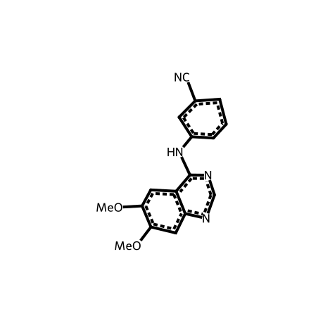 COc1cc2ncnc(Nc3cccc(C#N)c3)c2cc1OC